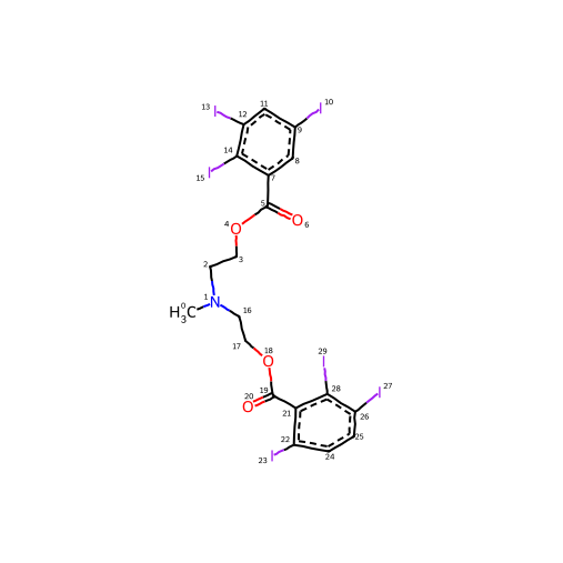 CN(CCOC(=O)c1cc(I)cc(I)c1I)CCOC(=O)c1c(I)ccc(I)c1I